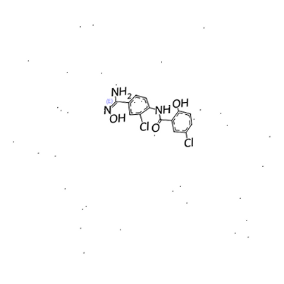 N/C(=N/O)c1ccc(NC(=O)c2cc(Cl)ccc2O)c(Cl)c1